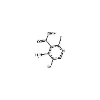 CNC(=O)c1c(F)ncc(Br)c1N